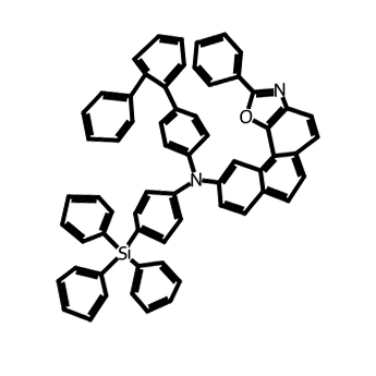 c1ccc(-c2nc3ccc4ccc5ccc(N(c6ccc(-c7ccccc7-c7ccccc7)cc6)c6ccc([Si](c7ccccc7)(c7ccccc7)c7ccccc7)cc6)cc5c4c3o2)cc1